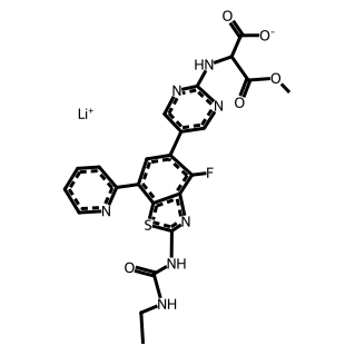 CCNC(=O)Nc1nc2c(F)c(-c3cnc(NC(C(=O)[O-])C(=O)OC)nc3)cc(-c3ccccn3)c2s1.[Li+]